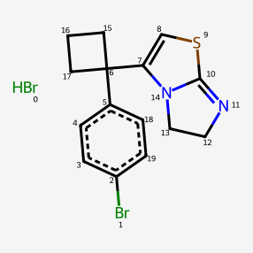 Br.Brc1ccc(C2(C3=CSC4=NCCN34)CCC2)cc1